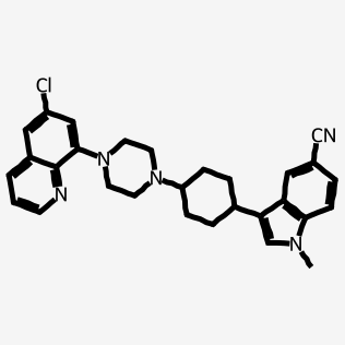 Cn1cc(C2CCC(N3CCN(c4cc(Cl)cc5cccnc45)CC3)CC2)c2cc(C#N)ccc21